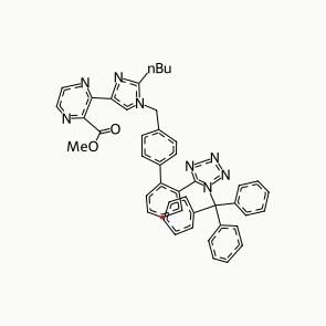 CCCCc1nc(-c2nccnc2C(=O)OC)cn1Cc1ccc(-c2ccccc2-c2nnnn2C(c2ccccc2)(c2ccccc2)c2ccccc2)cc1